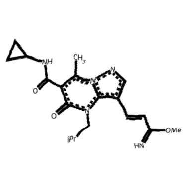 COC(=N)/C=C/c1cnn2c(C)c(C(=O)NC3CC3)c(=O)n(CC(C)C)c12